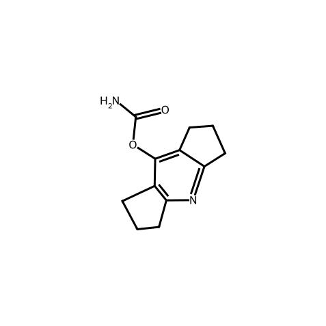 NC(=O)Oc1c2c(nc3c1CCC3)CCC2